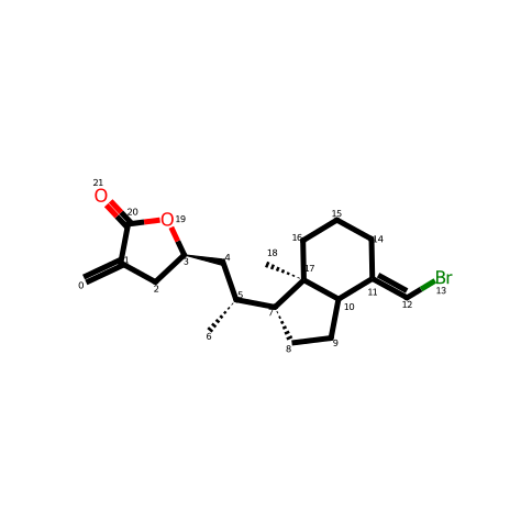 C=C1C[C@H](C[C@@H](C)[C@H]2CCC3/C(=C/Br)CCC[C@@]32C)OC1=O